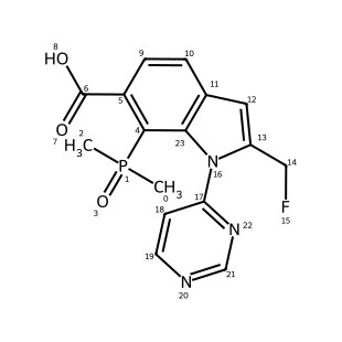 CP(C)(=O)c1c(C(=O)O)ccc2cc(CF)n(-c3ccncn3)c12